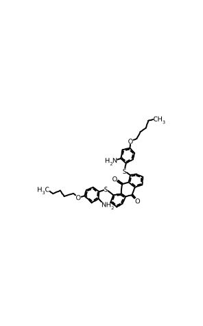 CCCCCOc1ccc(Sc2cccc3c2C(=O)c2c(Sc4ccc(OCCCCC)cc4N)cccc2C3=O)c(N)c1